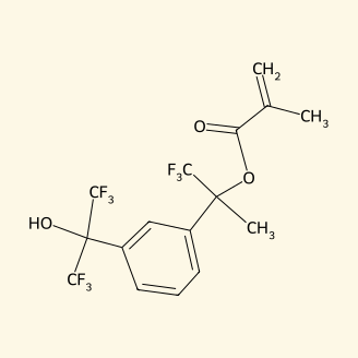 C=C(C)C(=O)OC(C)(c1cccc(C(O)(C(F)(F)F)C(F)(F)F)c1)C(F)(F)F